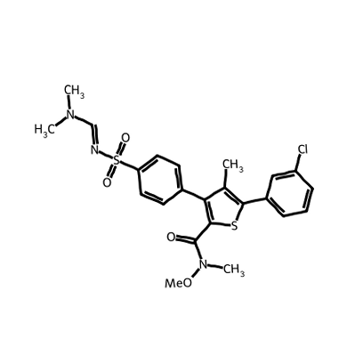 CON(C)C(=O)c1sc(-c2cccc(Cl)c2)c(C)c1-c1ccc(S(=O)(=O)N=CN(C)C)cc1